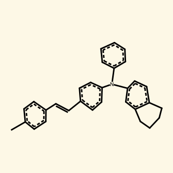 Cc1ccc(C=Cc2ccc(N(c3ccccc3)c3ccc4c(c3)CCCC4)cc2)cc1